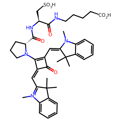 CN1/C(=C/C2=C(N3CCC[C@@H]3C(=O)N[C@@H](CS(=O)(=O)O)C(=O)NCCCCC(=O)O)C(=C/C3=[N+](C)c4ccccc4C3(C)C)/C2=O)C(C)(C)c2ccccc21